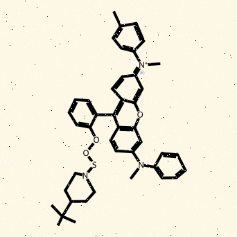 Cc1ccc(/[N+](C)=c2\ccc3c(-c4ccccc4OOSN4CCC(C(C)(C)C)CC4)c4ccc(N(C)c5ccccc5)cc4oc-3c2)cc1